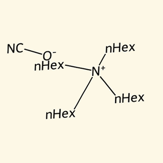 CCCCCC[N+](CCCCCC)(CCCCCC)CCCCCC.N#C[O-]